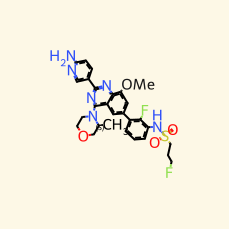 COc1cc(-c2cccc(NS(=O)(=O)CCCF)c2F)cc2c(N3CCOC[C@@H]3C)nc(-c3ccc(N)nc3)nc12